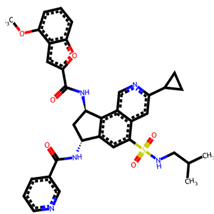 COc1cccc2oc(C(=O)N[C@@H]3C[C@@H](NC(=O)c4cccnc4)c4cc(S(=O)(=O)NCC(C)C)c5cc(C6CC6)ncc5c43)cc12